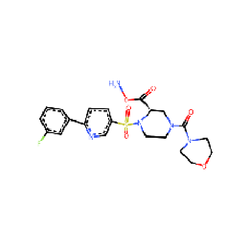 NOC(=O)[C@H]1CN(C(=O)N2CCOCC2)CCN1S(=O)(=O)c1ccc(-c2cccc(F)c2)nc1